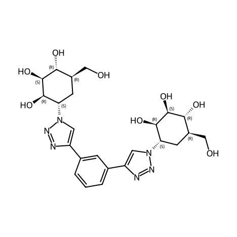 OC[C@H]1C[C@H](n2cc(-c3cccc(-c4cn([C@H]5C[C@H](CO)[C@@H](O)[C@H](O)[C@@H]5O)nn4)c3)nn2)[C@@H](O)[C@@H](O)[C@@H]1O